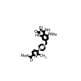 CCn1c(=O)[nH]c2cc(CN3CCN(c4ccc(C(=O)NC)nc4C)CC3)cc(NC)c2c1=N